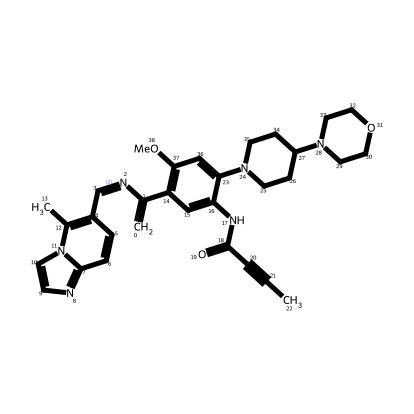 C=C(/N=C\c1ccc2nccn2c1C)c1cc(NC(=O)C#CC)c(N2CCC(N3CCOCC3)CC2)cc1OC